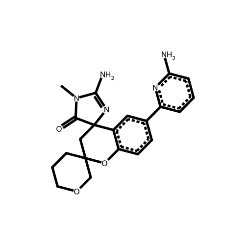 CN1C(=O)C2(CC3(CCCOC3)Oc3ccc(-c4cccc(N)n4)cc32)N=C1N